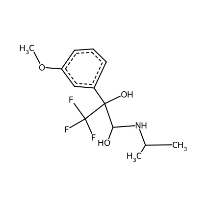 COc1cccc(C(O)(C(O)NC(C)C)C(F)(F)F)c1